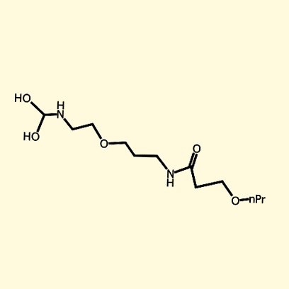 CCCOCCC(=O)NCCCOCCNC(O)O